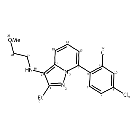 CCc1nn2c(-c3ccc(Cl)cc3Cl)cccc2c1NCCOC